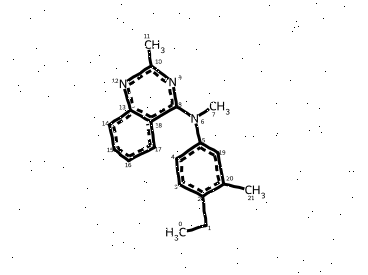 CCc1ccc(N(C)c2nc(C)nc3ccccc23)cc1C